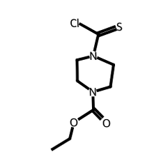 CCOC(=O)N1CCN(C(=S)Cl)CC1